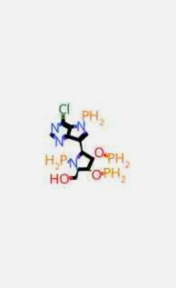 OC[C@@H]1[C@@H](OP)[C@@H](OP)[C@H](c2cn(P)c3c(Cl)ncnc23)N1P